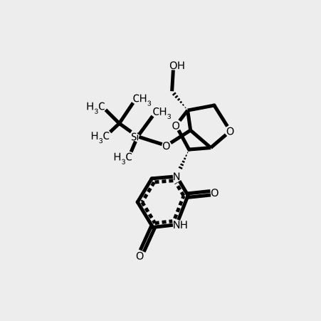 CC(C)(C)[Si](C)(C)OC1C2OC[C@]1(CO)O[C@H]2n1ccc(=O)[nH]c1=O